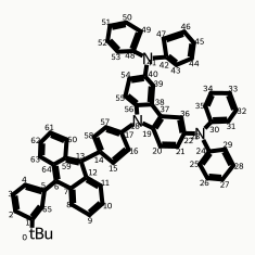 CC(C)(C)c1cccc(-c2c3ccccc3c(-c3ccc(-n4c5ccc(N(c6ccccc6)c6ccccc6)cc5c5cc(N(c6ccccc6)c6ccccc6)ccc54)cc3)c3ccccc23)c1